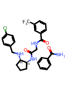 NC(=O)c1ccccc1.O=C(CNC(=O)c1cccc(C(F)(F)F)c1)N[C@H]1CCC[C@H]1NCc1ccc(Cl)cc1